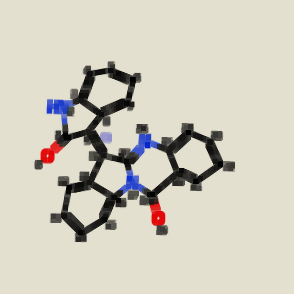 O=C1Nc2ccccc2/C1=c1/c2ccccc2n2c(=O)c3ccccc3nc12